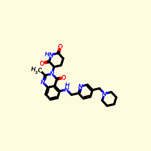 Cc1nc2cccc(NCc3ccc(CN4CCCCC4)cn3)c2c(=O)n1C1CCC(=O)NC1=O